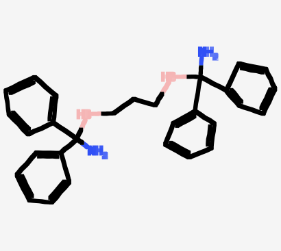 NC(BCCCBC(N)(c1ccccc1)c1ccccc1)(c1ccccc1)c1ccccc1